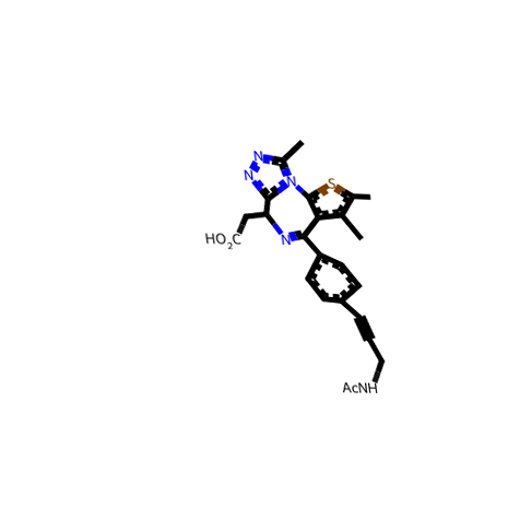 CC(=O)NCC#Cc1ccc(C2=NC(CC(=O)O)c3nnc(C)n3-c3sc(C)c(C)c32)cc1